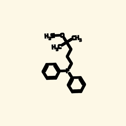 CC(C)(CCCP(c1ccccc1)c1ccccc1)O[SiH3]